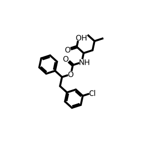 CC(C)CC(NC(=O)OC(Cc1cccc(Cl)c1)c1ccccc1)C(=O)O